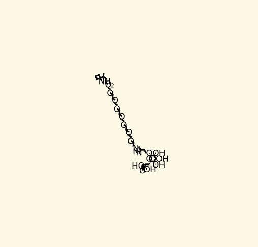 CC(CCOCCOCCOCCOCCOCCOCCOCCOCCn1cc(CCO[C@H]2O[C@H](CCP(=O)(O)O)[C@@H](O)[C@H](O)[C@@H]2O)nn1)C1(N)CCC1